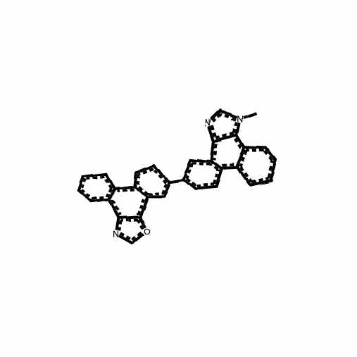 Cn1cnc2c3cc(-c4ccc5c6ccccc6c6ncoc6c5c4)ccc3c3ccccc3c21